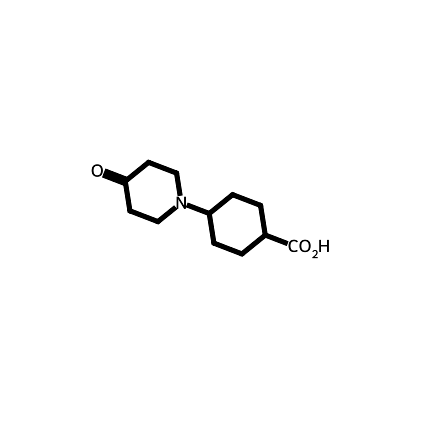 O=C1CCN(C2CCC(C(=O)O)CC2)CC1